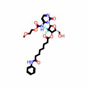 COCCOC(=O)Nc1ccnc(=O)n1[C@@H]1O[C@H](CO)[C@@H](OC(=O)CCCCCCC(=O)Nc2ccccc2)C1(F)F